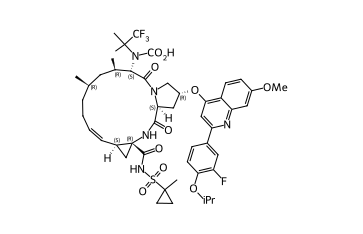 COc1ccc2c(O[C@@H]3C[C@H]4C(=O)N[C@]5(C(=O)NS(=O)(=O)C6(C)CC6)C[C@H]5C=CCC[C@@H](C)C[C@@H](C)[C@H](N(C(=O)O)C(C)(C)C(F)(F)F)C(=O)N4C3)cc(-c3ccc(OC(C)C)c(F)c3)nc2c1